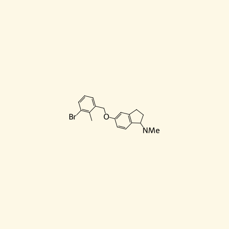 CNC1CCc2cc(OCc3cccc(Br)c3C)ccc21